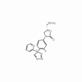 CC(=O)NC[C@H]1CN(c2ccc([C@]3(c4ccccn4)C=NN=N3)c(F)c2)C(=O)O1